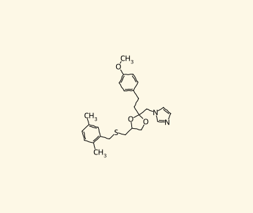 COc1ccc(CCC2(Cn3ccnc3)OCC(CSCc3cc(C)ccc3C)O2)cc1